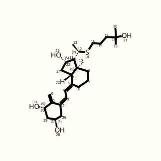 C=C1C(=CC=C2CCC[C@]3(C)[C@@H]([C@@H](C)SCCCC(C)(C)O)[C@@H](O)C[C@@H]23)C[C@@H](O)C[C@@H]1O